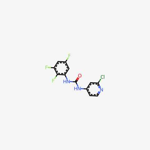 O=C(Nc1ccnc(Cl)c1)Nc1cc(F)cc(F)c1F